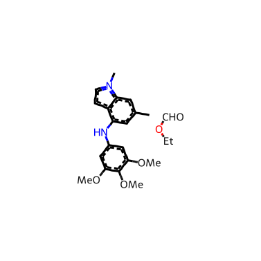 CCOC=O.COc1cc(Nc2cc(C)cc3c2ccn3C)cc(OC)c1OC